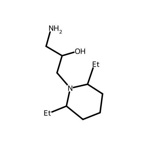 CCC1CCCC(CC)N1CC(O)CN